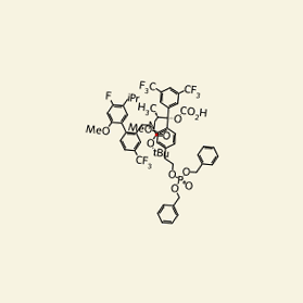 COc1cc(F)c(C(C)C)cc1-c1ccc(C(F)(F)F)cc1CN(C(=O)OC(C)(C)C)[C@@H](C)[C@@](OC(=O)O)(c1cc(C(F)(F)F)cc(C(F)(F)F)c1)c1ccc(CCOP(=O)(OCc2ccccc2)OCc2ccccc2)cc1OC